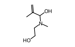 C=C(C)C(O)N(C)CCO